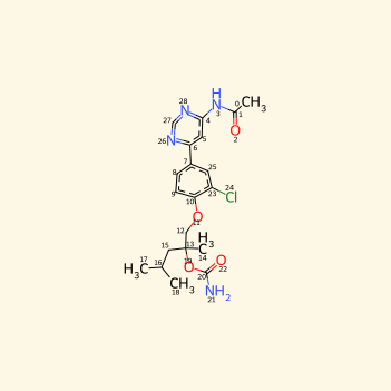 CC(=O)Nc1cc(-c2ccc(OCC(C)(CC(C)C)OC(N)=O)c(Cl)c2)ncn1